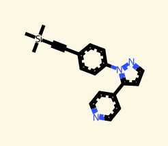 C[Si](C)(C)C#Cc1ccc(-n2nccc2-c2ccncc2)cc1